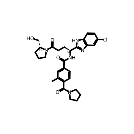 Cc1cc(C(=O)N[C@@H](CCC(=O)N2CCC[C@@H]2CO)c2nc3cc(Cl)ccc3[nH]2)ccc1C(=O)N1CCCC1